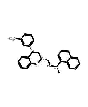 C[C@@H](NC[C@H]1C[C@@H](c2cccc(C(=O)O)c2)c2ccccc2O1)c1cccc2ccccc12